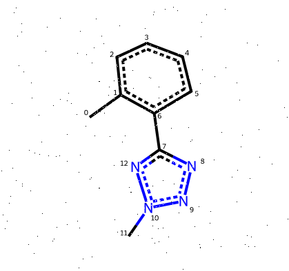 Cc1ccccc1-c1nnn(C)n1